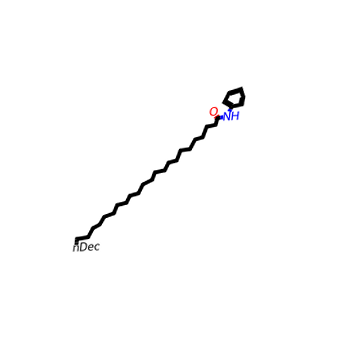 CCCCCCCCCCCCCCCCCCCCCCCCCCCCCCCCC(=O)Nc1ccccc1